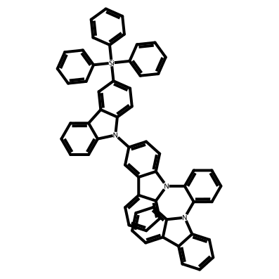 c1ccc([Si](c2ccccc2)(c2ccccc2)c2ccc3c(c2)c2ccccc2n3-c2ccc3c(c2)c2ccccc2n3-c2ccccc2-n2c3ccccc3c3ccccc32)cc1